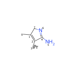 CC1=C(C(C)C)C(N)=NC1